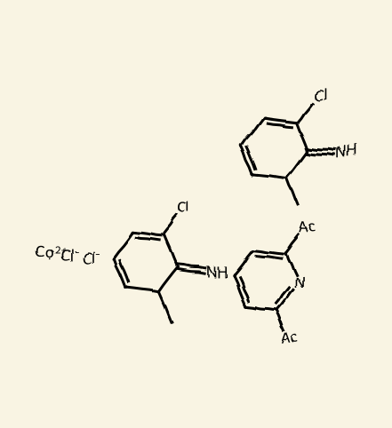 CC(=O)c1cccc(C(C)=O)n1.CC1C=CC=C(Cl)C1=N.CC1C=CC=C(Cl)C1=N.[Cl-].[Cl-].[Co+2]